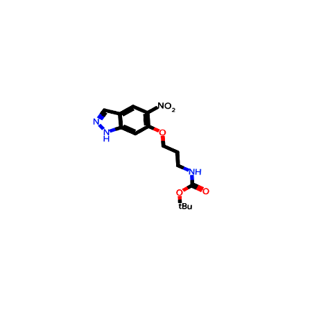 CC(C)(C)OC(=O)NCCCOc1cc2[nH]ncc2cc1[N+](=O)[O-]